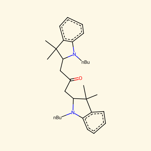 CCCCN1c2ccccc2C(C)(C)C1CC(=O)CC1N(CCCC)c2ccccc2C1(C)C